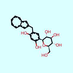 OC[C@H]1O[C@@H](c2cc(Cc3cc4cccccc-4c3)c(O)cc2O)[C@H](O)[C@@H](O)[C@@H]1O